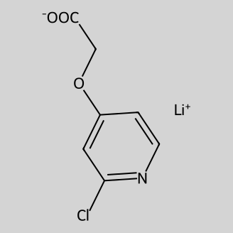 O=C([O-])COc1ccnc(Cl)c1.[Li+]